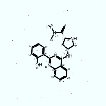 C=C([C@H]1C[C@H](Nc2nc(-c3ccccc3O)nc3ccccc23)CN1)N(C)C(C)C